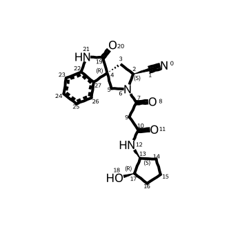 N#C[C@@H]1C[C@@]2(CN1C(=O)CC(=O)N[C@H]1CCC[C@H]1O)C(=O)Nc1ccccc12